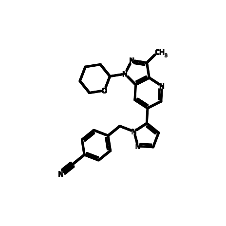 Cc1nn(C2CCCCO2)c2cc(-c3ccnn3Cc3ccc(C#N)cc3)cnc12